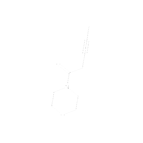 [CH2]C#CCC(=O)N1CCOCC1